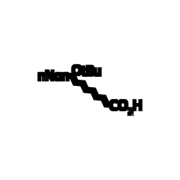 CCCCCCCCCC(CCCCCCCC(=O)O)OC(C)(C)C